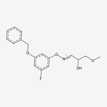 COCC(O)/C=N/Oc1cc(F)cc(OCc2ccccc2)c1